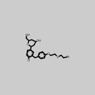 OCC1CC(O)CC(c2ccc(Cl)c(Cc3ccc(OCCOCCBr)cc3)c2)O1